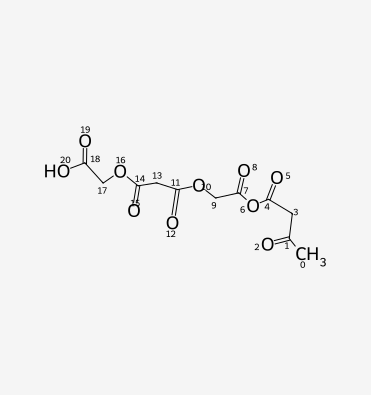 CC(=O)CC(=O)OC(=O)COC(=O)CC(=O)OCC(=O)O